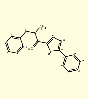 CN(Cc1ccccn1)C(=O)c1cnc(-c2cccnc2)s1